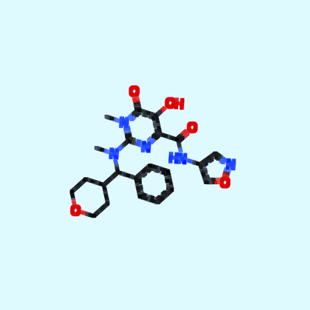 CN(c1nc(C(=O)Nc2cnoc2)c(O)c(=O)n1C)C(c1ccccc1)C1CCOCC1